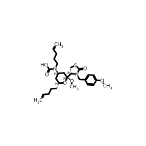 C=CCCC[C@@H]1C[C@@H](N(CCCC=C)C(=O)O)C[C@](OC)([C@@H]2CSC(=O)N2Cc2ccc(OC)cc2)O1